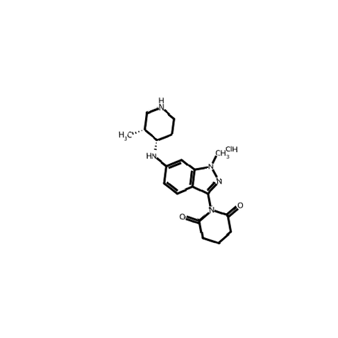 C[C@@H]1CNCC[C@@H]1Nc1ccc2c(N3C(=O)CCCC3=O)nn(C)c2c1.Cl